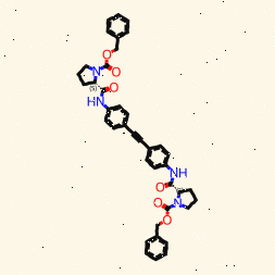 O=C(Nc1ccc(C#Cc2ccc(NC(=O)[C@@H]3CCCN3C(=O)OCc3ccccc3)cc2)cc1)[C@@H]1CCCN1C(=O)OCc1ccccc1